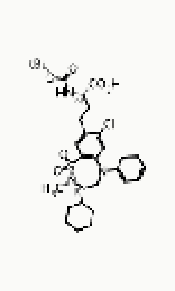 CN1[C@H](C2CCCCC2)CN(c2ccccc2)c2cc(Cl)c(CC[C@H](NC(=O)OC(C)(C)C)C(=O)O)cc2S1(=O)=O